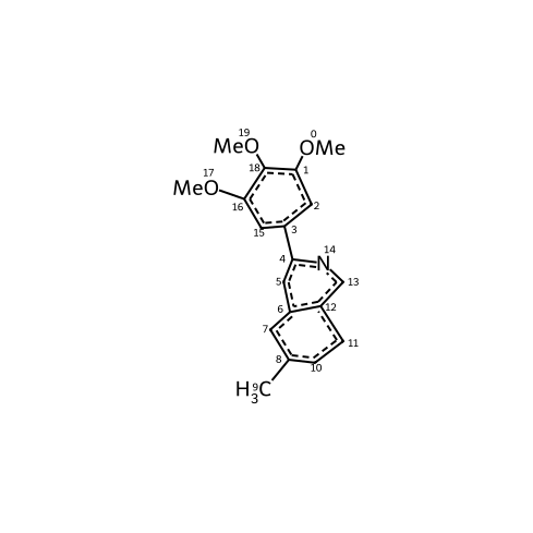 COc1cc(-c2cc3cc(C)ccc3cn2)cc(OC)c1OC